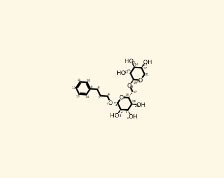 O[C@@H]1[C@@H](O)[C@H](OCCCc2ccccc2)O[C@H](CO[C@@H]2OC[C@H](O)[C@H](O)[C@H]2O)[C@H]1O